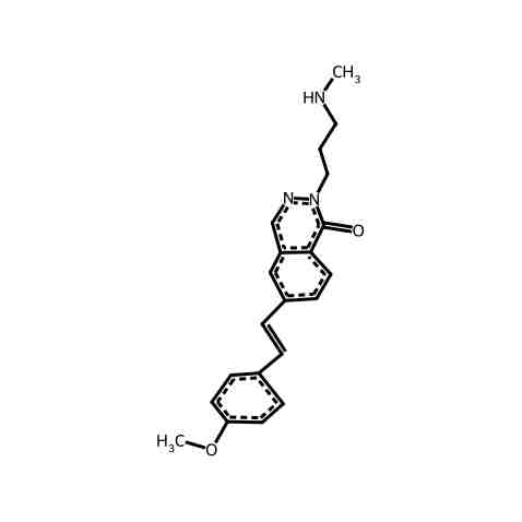 CNCCCn1ncc2cc(/C=C/c3ccc(OC)cc3)ccc2c1=O